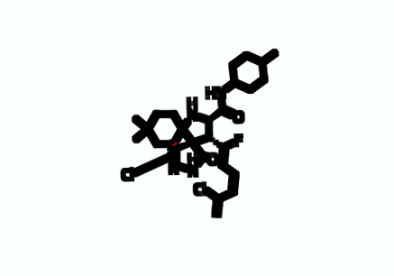 C=C(Cl)/C=C\C=C(/F)[C@H]1[C@H](C(=O)NC2CCC(C)CC2)NC2(CCC(C)(C)CC2)[C@@]12C(=O)Nc1nc(Cl)ccc12